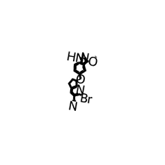 COc1n[nH]c2ccc(O[C@@H]3CCc4cc(C#N)c(Br)nc43)cc12